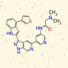 CN(C)CC(=O)Nc1cncc(-c2cc3c(-c4cc5c(-c6ccsc6)cccc5[nH]4)n[nH]c3cn2)c1